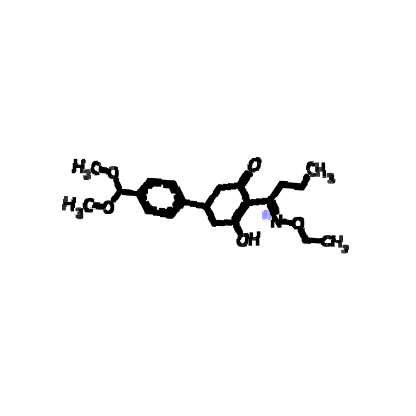 CCC/C(=N\OCC)C1=C(O)CC(c2ccc(C(OC)OC)cc2)CC1=O